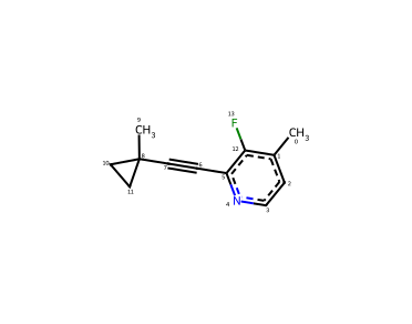 Cc1ccnc(C#CC2(C)CC2)c1F